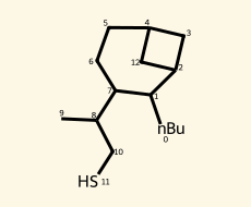 CCCCC1C2CC(CCC1C(C)CS)C2